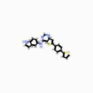 c1csc(-c2ccc(-c3cc4ncnc(Nc5ccc6[nH]ccc6c5)c4s3)cc2)c1